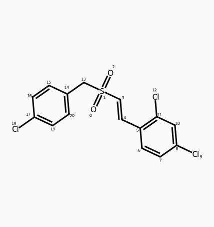 O=S(=O)(C=Cc1ccc(Cl)cc1Cl)Cc1ccc(Cl)cc1